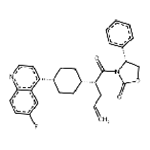 C=CCC(C(=O)N1C(=O)OC[C@H]1c1ccccc1)[C@H]1CC[C@@H](c2ccnc3ccc(F)cc32)CC1